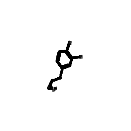 O=C(O)CSc1ccc(Cl)c(Cl)c1